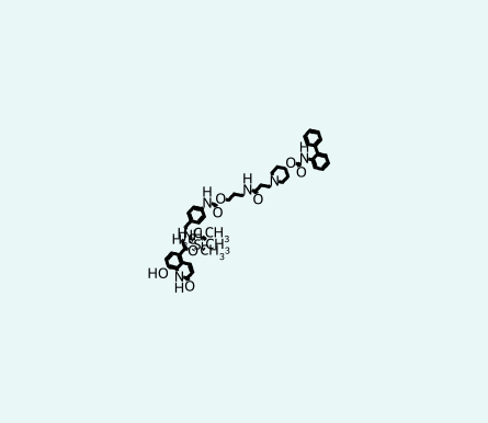 CC(C)(C)[Si](C)(C)OC(CNCc1ccc(NC(=O)OCCCNC(=O)CCN2CCC(OC(=O)Nc3ccccc3-c3ccccc3)CC2)cc1)c1ccc(O)c2[nH]c(=O)ccc12